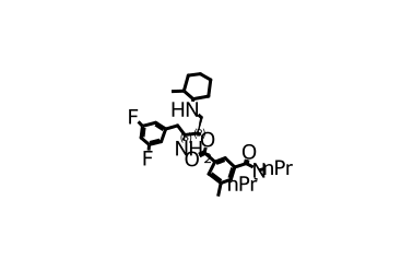 CCCN(CCC)C(=O)c1cc(C)cc(C(=O)O[C@H](CNC2CCCCC2C)[C@@H](N)Cc2cc(F)cc(F)c2)c1